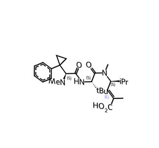 CN[C@H](C(=O)N[C@H](C(=O)N(C)[C@H](/C=C(\C)C(=O)O)C(C)C)C(C)(C)C)C1(c2ccccc2)CC1